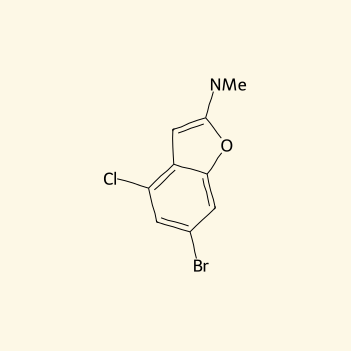 CNc1cc2c(Cl)cc(Br)cc2o1